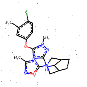 Cc1noc(N2CC3CCC(C2)C3Nc2nc(Oc3ccc(F)c(C(F)(F)F)c3)n(C)n2)n1